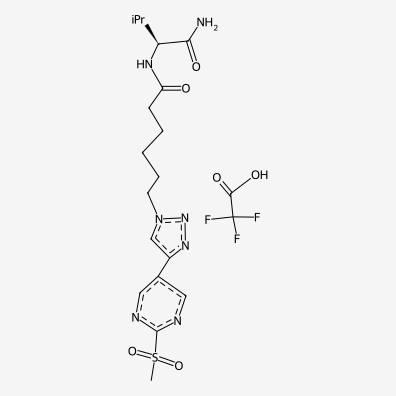 CC(C)[C@H](NC(=O)CCCCCn1cc(-c2cnc(S(C)(=O)=O)nc2)nn1)C(N)=O.O=C(O)C(F)(F)F